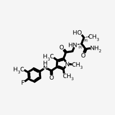 Cc1cc(NC(=O)c2c(C)c(C(=O)CN[C@@H](C(N)=O)[C@@H](C)O)n(C)c2C)ccc1F